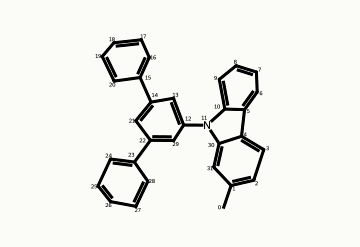 Cc1ccc2c3ccccc3n(-c3cc(-c4ccccc4)cc(-c4ccccc4)c3)c2c1